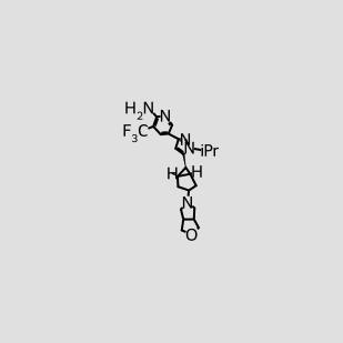 CC(C)n1nc(-c2cnc(N)c(C(F)(F)F)c2)cc1[C@H]1[C@@H]2CC(N3CC4COCC4C3)C[C@@H]21